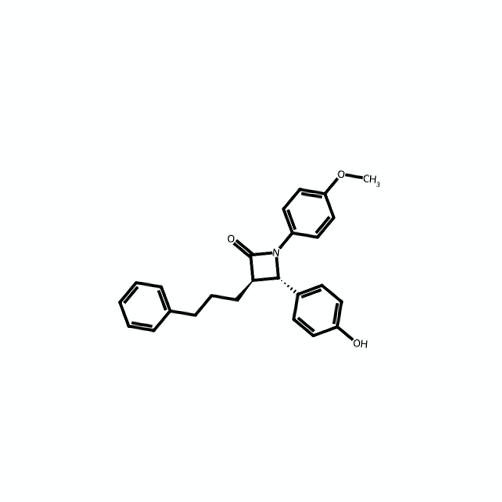 COc1ccc(N2C(=O)[C@H](CCCc3ccccc3)[C@H]2c2ccc(O)cc2)cc1